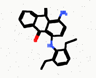 C=C1c2ccccc2C(=O)c2c(Nc3c(CC)cccc3CC)ccc(N)c21